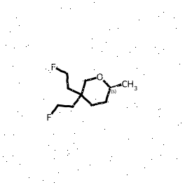 C[C@H]1CCC(CCF)(CCF)CO1